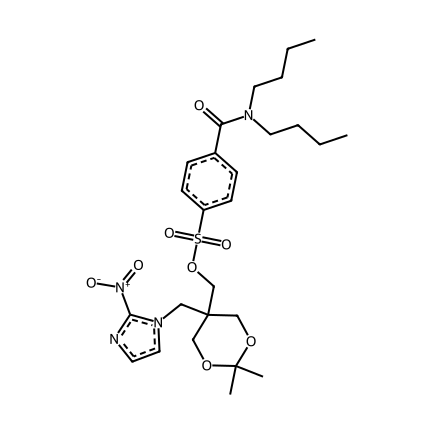 CCCCN(CCCC)C(=O)c1ccc(S(=O)(=O)OCC2(Cn3ccnc3[N+](=O)[O-])COC(C)(C)OC2)cc1